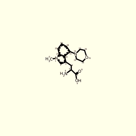 Cn1cc(CC(N)C(=O)O)c2c(N3CCOCC3)cccc21